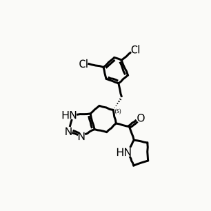 O=C(C1CCCN1)C1Cc2nn[nH]c2C[C@@H]1Cc1cc(Cl)cc(Cl)c1